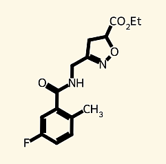 CCOC(=O)C1CC(CNC(=O)c2cc(F)ccc2C)=NO1